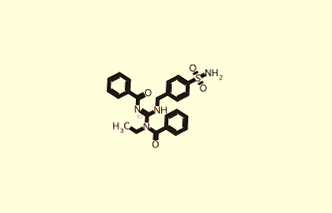 CCN(C(=O)c1ccccc1)/C(=N/C(=O)c1ccccc1)NCc1ccc(S(N)(=O)=O)cc1